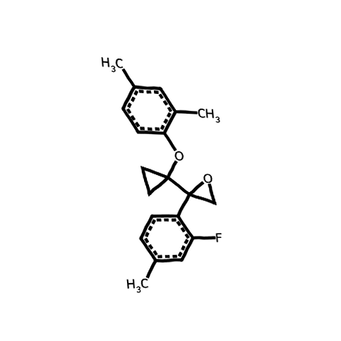 Cc1ccc(OC2(C3(c4ccc(C)cc4F)CO3)CC2)c(C)c1